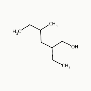 CCC(C)CC(CC)CO